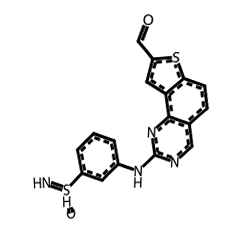 N=[SH](=O)c1cccc(Nc2ncc3ccc4sc(C=O)cc4c3n2)c1